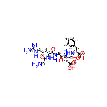 N=C(N)NCCC[C@H](NC(=O)CN)C(=O)NCC(=O)N[C@@H](CC(=O)O)C(=O)N[C@@H](Cc1ccccc1)C(=O)O